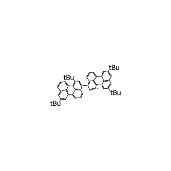 CC(C)(C)c1cc2cc(C(C)(C)C)cc3c4cccc5c(-c6cc(C(C)(C)C)c7c8cccc9cc(C(C)(C)C)cc(c%10cccc6c%107)c98)c[c]c(c(c1)c23)c54